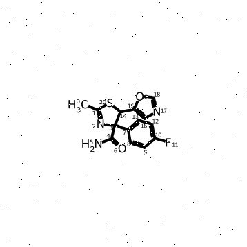 CC1=NC(C(N)=O)(c2ccc(F)cc2)C(c2cnco2)S1